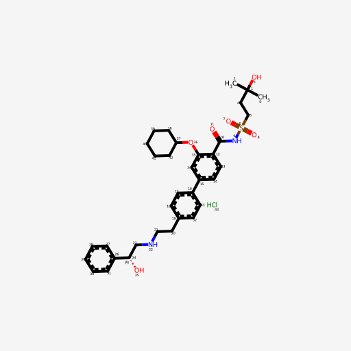 CC(C)(O)CCS(=O)(=O)NC(=O)c1ccc(-c2ccc(CCNC[C@H](O)c3ccccc3)cc2)cc1OC1CCCCC1.Cl